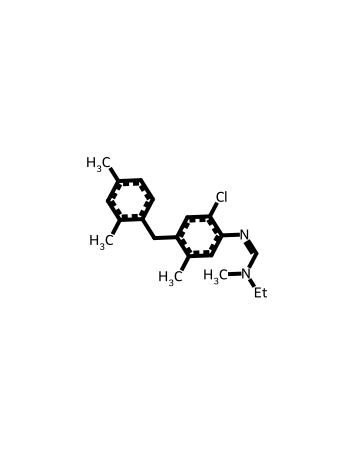 CCN(C)/C=N\c1cc(C)c(Cc2ccc(C)cc2C)cc1Cl